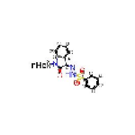 CCCCCCN1C(=O)C(=NNS(=O)(=O)c2ccccc2)c2ccccc21